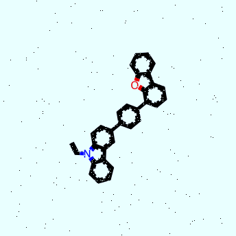 C=Cn1c2ccccc2c2cc(-c3ccc(-c4cccc5c4oc4ccccc45)cc3)ccc21